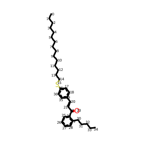 CCCCCCCCCCCCCCCSc1ccc(C=CC(=O)c2ccccc2CCCCC)cc1